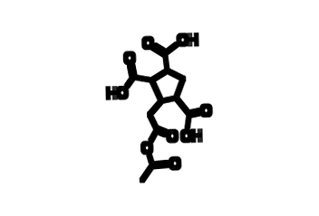 CC(=O)OC(=O)CC1C(C(=O)O)CC(C(=O)O)C1C(=O)O